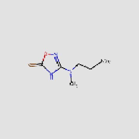 CNCCN(C)c1noc(=S)[nH]1